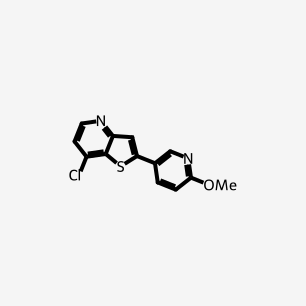 COc1ccc(-c2cc3nccc(Cl)c3s2)cn1